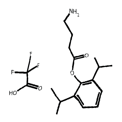 CC(C)c1cccc(C(C)C)c1OC(=O)CCCN.O=C(O)C(F)(F)F